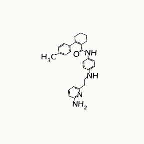 Cc1ccc(C2=C(C(=O)Nc3ccc(NCCc4cccc(N)n4)cc3)CCCC2)cc1